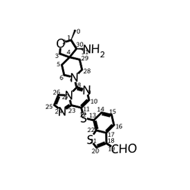 C[C@@H]1OCC2(CCN(c3ncc(Sc4cccc5c(C=O)csc45)c4nccn34)CC2)[C@@H]1N